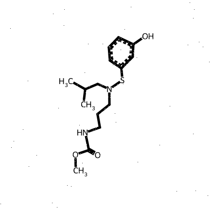 COC(=O)NCCCN(CC(C)C)Sc1cccc(O)c1